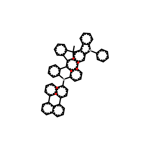 CC1(C)c2ccccc2-c2c(-c3ccccc3N(c3ccc(-c4cccc5cccc(-c6ccccc6)c45)cc3)c3cccc(-c4ccc5c6ccccc6n(-c6ccccc6)c5c4)c3)cccc21